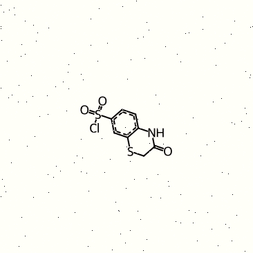 O=C1CSc2cc(S(=O)(=O)Cl)ccc2N1